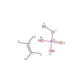 CC(C)=C(C)C.CCOP(=O)(O)O